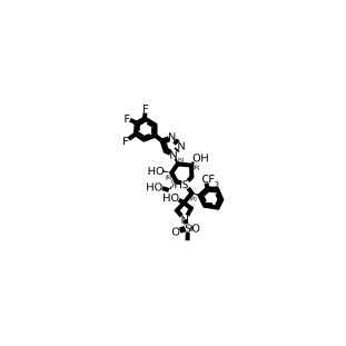 CS(=O)(=O)N1CC(O)([C@@H](c2ccccc2C(F)(F)F)[SH]2C[C@H](O)[C@H](n3cc(-c4cc(F)c(F)c(F)c4)nn3)[C@@H](O)[C@H]2CO)C1